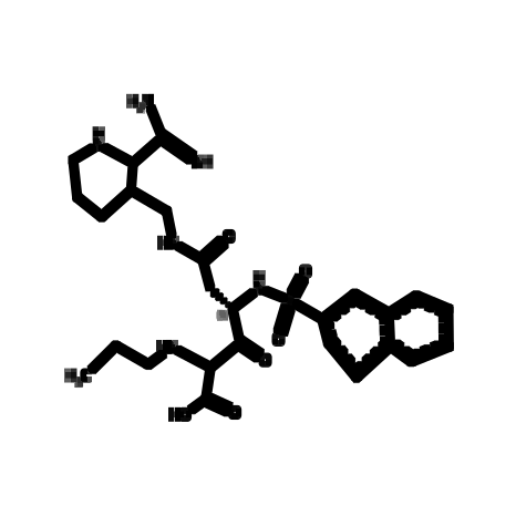 CCCNC(C(=O)O)C(=O)[C@H](CC(=O)NCC1CCCNC1C(=N)N)NS(=O)(=O)c1ccc2ccccc2c1